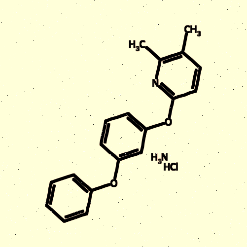 Cc1ccc(Oc2cccc(Oc3ccccc3)c2)nc1C.Cl.N